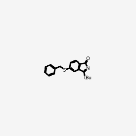 CC(C)(C)C1=NC(=O)c2ccc(SCc3ccccc3)cc21